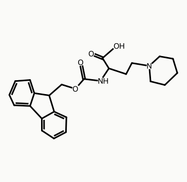 O=C(NC(CCN1CCCCC1)C(=O)O)OCC1c2ccccc2-c2ccccc21